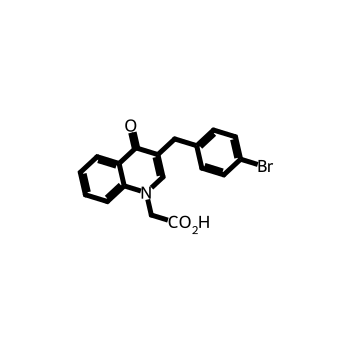 O=C(O)Cn1cc(Cc2ccc(Br)cc2)c(=O)c2ccccc21